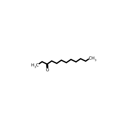 CCCCCCCCCC(=O)CC